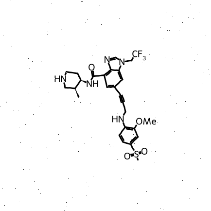 COc1cc(S(C)(=O)=O)ccc1NCC#Cc1cc(C(=O)N[C@@H]2CCNC[C@@H]2C)c2ncn(CC(F)(F)F)c2c1